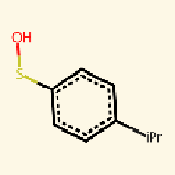 CC(C)c1ccc(SO)cc1